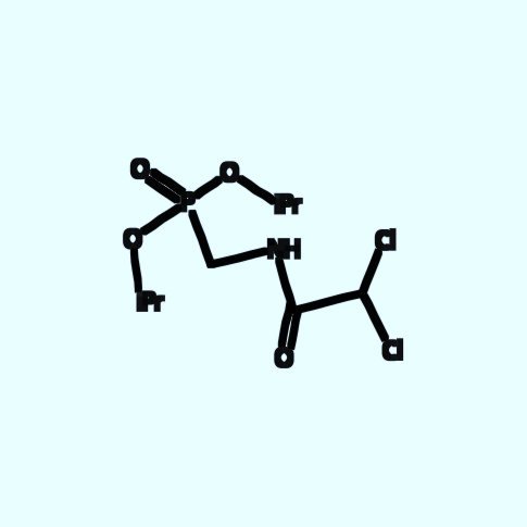 CC(C)OP(=O)(CNC(=O)C(Cl)Cl)OC(C)C